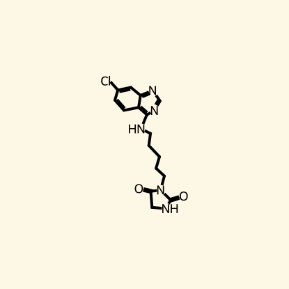 O=C1CNC(=O)N1CCCCCNc1ncnc2cc(Cl)ccc12